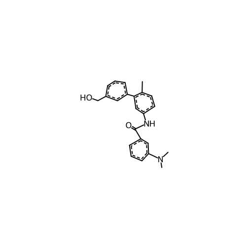 Cc1ccc(NC(=O)c2cccc(N(C)C)c2)cc1-c1cccc(CO)c1